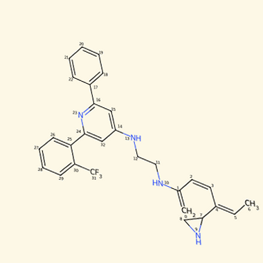 C=C(/C=C\C(=C/C)C1CN1)NCCNc1cc(-c2ccccc2)nc(-c2ccccc2C(F)(F)F)c1